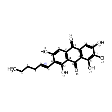 CCCC/C=C/c1c(O)cc2c(c1O)C(=O)c1c(cc(O)c(Cl)c1O)C2=O